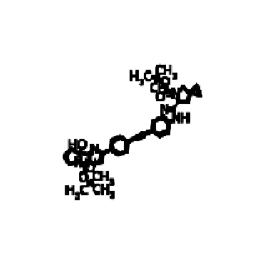 CC(C)(C)OC(=O)N1CC2(CC2)C[C@H]1c1nc2cc(C#Cc3ccc(-c4c[nH]c([C@@]5(O)CCCN5C(=O)OC(C)(C)C)n4)cc3)ccc2[nH]1